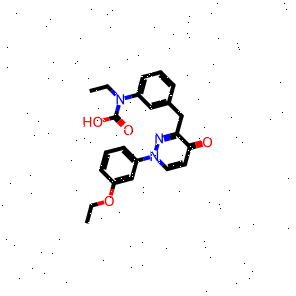 CCOc1cccc(-n2ccc(=O)c(Cc3cccc(N(CC)C(=O)O)c3)n2)c1